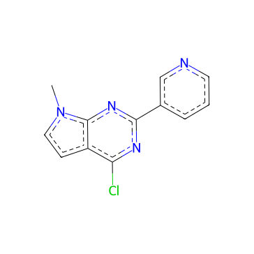 Cn1ccc2c(Cl)nc(-c3cccnc3)nc21